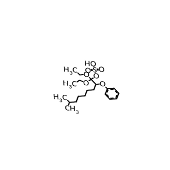 CCOC(OCC)(OS(=O)(=O)O)C(CCCCCC(C)C)Oc1ccccc1